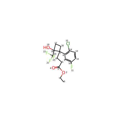 CCOC(=O)CCC1(c2cc(F)ccc2Cl)CCC1(O)C(F)(F)F